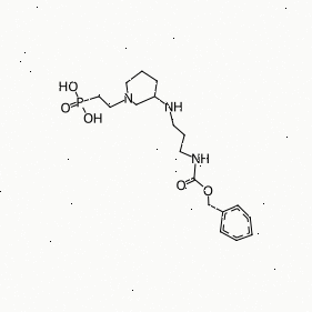 O=C(NCCCNC1CCCN(CCP(=O)(O)O)C1)OCc1ccccc1